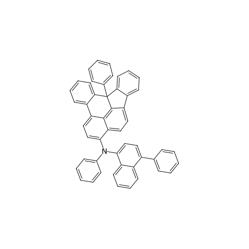 c1ccc(-c2ccc(N(c3ccccc3)c3ccc4c5c6c(ccc35)-c3ccccc3C6(c3ccccc3)c3ccccc3-4)c3ccccc23)cc1